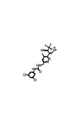 CN/C=C(\C(=N)C(F)(F)F)c1nnc(CNC(=O)Nc2cc(Cl)cc(Cl)c2)cc1C